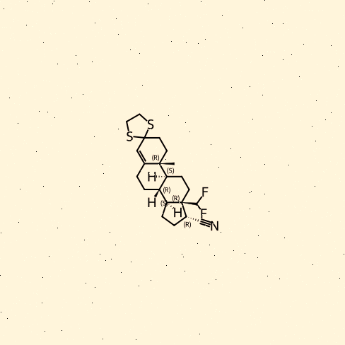 C[C@]12CCC3(C=C1CC[C@H]1[C@@H]4CC[C@@H](C#N)[C@@]4(C(F)F)CC[C@@H]12)SCCS3